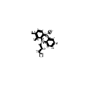 Cc1ccc2c(c1C)N(CCCCl)c1ccccc1[S+]2[O-]